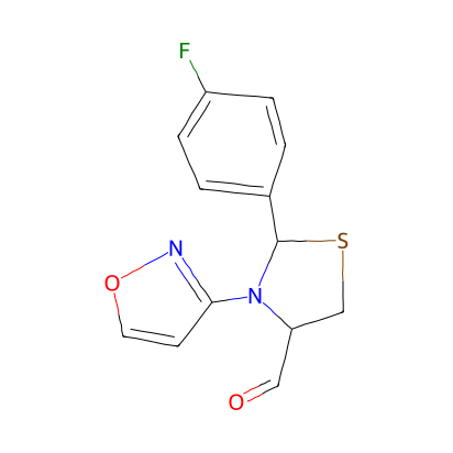 O=CC1CSC(c2ccc(F)cc2)N1c1ccon1